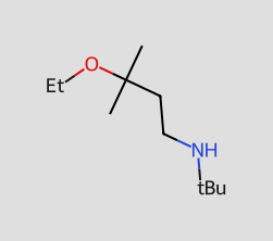 CCOC(C)(C)CCNC(C)(C)C